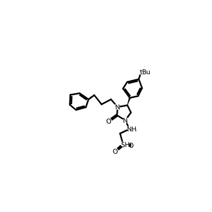 CC(C)(C)c1ccc([C@H]2CN(NC[SH](=O)=O)C(=O)N2CCCc2ccccc2)cc1